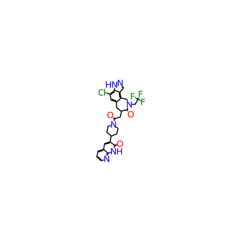 O=C(CC1Cc2cc(Cl)c3[nH]ncc3c2CN(CC(F)(F)F)C1=O)N1CCC(c2cc3cccnc3[nH]c2=O)CC1